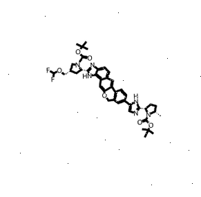 C[C@H]1CC[C@@H](c2ncc(-c3ccc4c(c3)COc3cc5c(ccc6nc([C@@H]7C[C@H](COC(F)F)CN7C(=O)OC(C)(C)C)[nH]c65)cc3-4)[nH]2)N1C(=O)OC(C)(C)C